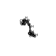 COc1cc(N2CCC(NCCCCCNc3cccc4c3C(=O)N(C3CCC(=O)NC3=O)C4=O)CC2)ccc1Nc1ncc(Cl)c(Nc2ccccc2P(C)(C)=O)n1